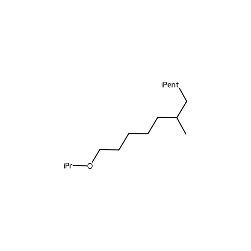 CCCC(C)CC(C)CCCCCOC(C)C